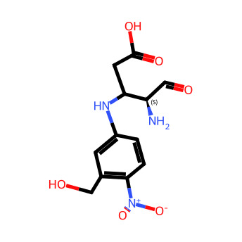 N[C@H](C=O)C(CC(=O)O)Nc1ccc([N+](=O)[O-])c(CO)c1